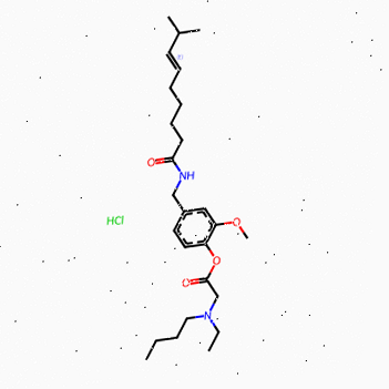 CCCCN(CC)CC(=O)Oc1ccc(CNC(=O)CCCC/C=C/C(C)C)cc1OC.Cl